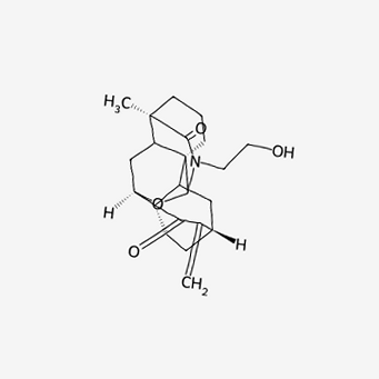 C=C1C(=O)[C@]23CC[C@H]1CC2[C@@]12CCC[C@@]4(C)C(=O)N(CCO)C1O[C@@H]3CC24